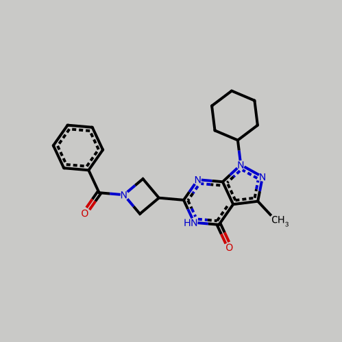 Cc1nn(C2CCCCC2)c2nc(C3CN(C(=O)c4ccccc4)C3)[nH]c(=O)c12